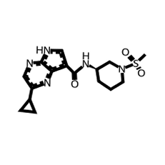 CS(=O)(=O)N1CCC[C@@H](NC(=O)c2c[nH]c3ncc(C4CC4)nc23)C1